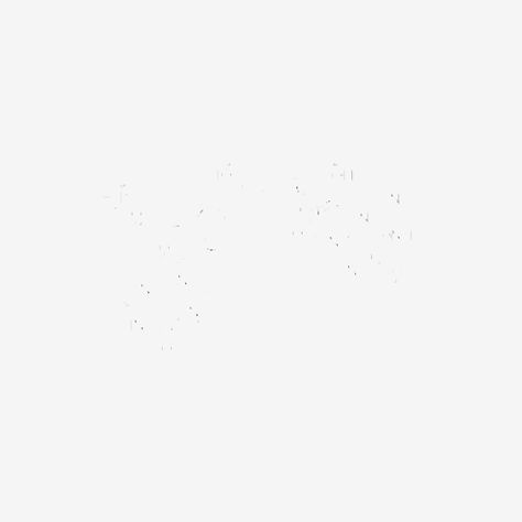 Nc1nc2c(ncn2[C@@H]2O[C@H](CCC(O)OC[C@H]3[C@@H](F)[C@H](n4cnc5c(=O)[nH]cnc54)O[C@@H]3COP)[C@@H](F)[C@H]2OO)c(=O)[nH]1